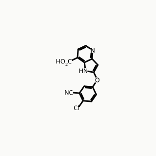 N#Cc1cc(Oc2cc3nccc(C(=O)O)c3[nH]2)ccc1Cl